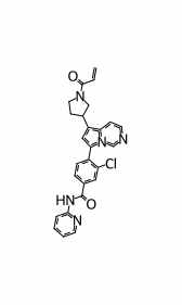 C=CC(=O)N1CCC(c2cc(-c3ccc(C(=O)Nc4ccccn4)cc3Cl)n3cnccc23)C1